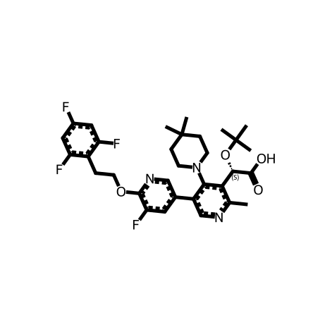 Cc1ncc(-c2cnc(OCCc3c(F)cc(F)cc3F)c(F)c2)c(N2CCC(C)(C)CC2)c1[C@H](OC(C)(C)C)C(=O)O